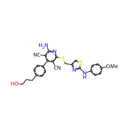 COc1ccc(Nc2nc(CSc3nc(N)c(C#N)c(-c4ccc(CCCO)cc4)c3C#N)cs2)cc1